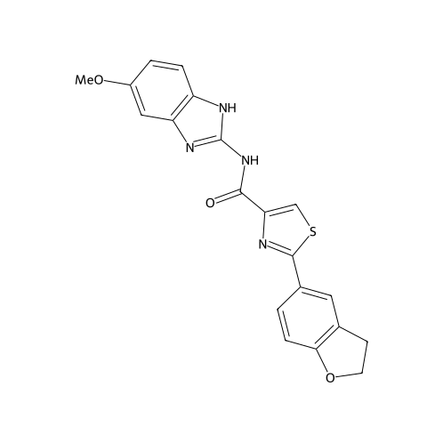 COc1ccc2[nH]c(NC(=O)c3csc(-c4ccc5c(c4)CCO5)n3)nc2c1